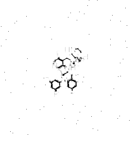 C[C@H]1CNC[C@](CCc2c(F)cncc2N[C@@H](Cc2ccc(F)cc2)C(=O)Nc2cc(F)cc(F)c2)(S(C)(=O)=O)N1